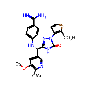 CCOc1cc([C@H](Nc2ccc(C(=N)N)cc2)c2nn(-c3ccsc3C(=O)O)c(=O)[nH]2)cnc1OC